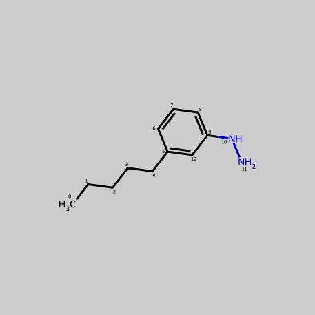 CCCCCc1cccc(NN)c1